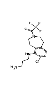 NCCCNc1c(Cl)ccc2c1CCN(C(=O)C(F)(F)F)CC2